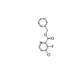 O=C(OCc1ccccc1)c1nccc(Cl)c1F